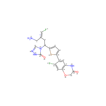 NC/C(=C/F)CC(c1ccc(-c2cc3c(cc2F)OCC(=O)N3)s1)n1cn[nH]c1=O